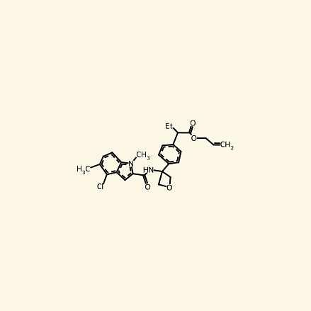 C=CCOC(=O)C(CC)c1ccc(C2(NC(=O)c3cc4c(Cl)c(C)ccc4n3C)COC2)cc1